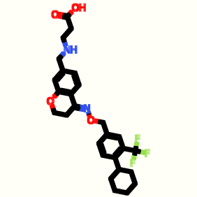 O=C(O)CCNCc1ccc2c(c1)OCCC2=NOCc1ccc(C2CCCCC2)c(C(F)(F)F)c1